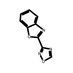 [c]1nc(-c2nc3ccccc3o2)no1